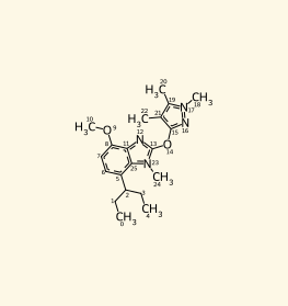 CCC(CC)c1ccc(OC)c2nc(Oc3nn(C)c(C)c3C)n(C)c12